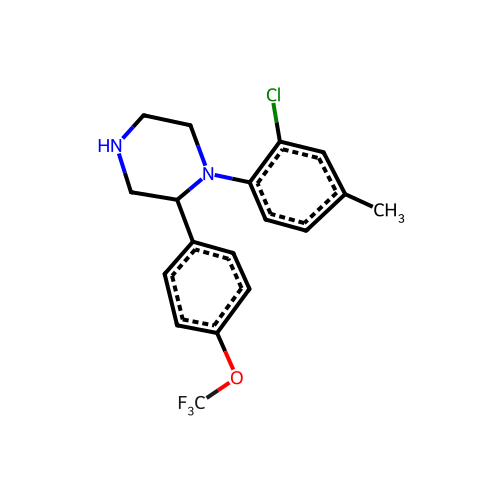 Cc1ccc(N2CCNCC2c2ccc(OC(F)(F)F)cc2)c(Cl)c1